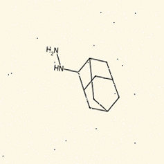 NNC1C2CC3CC(C2)CC1C3